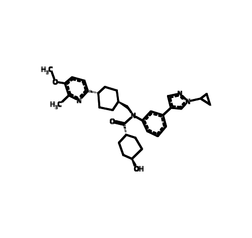 COc1ccc([C@H]2CC[C@H](CN(c3cccc(-c4cnn(C5CC5)c4)c3)C(=O)[C@H]3CC[C@H](O)CC3)CC2)nc1C